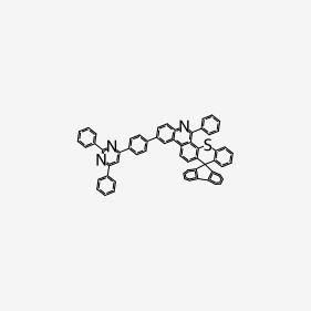 c1ccc(-c2cc(-c3ccc(-c4ccc5nc(-c6ccccc6)c6c7c(ccc6c5c4)C4(c5ccccc5S7)c5ccccc5-c5ccccc54)cc3)nc(-c3ccccc3)n2)cc1